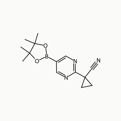 CC1(C)OB(c2cnc(C3(C#N)CC3)nc2)OC1(C)C